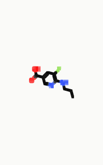 CCCNc1ncc(C(=O)O)cc1F